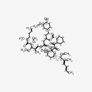 C=CCC[C@@H](C)C(=O)[C@H](OC)[C@H](OC)/C(C)=C/[C@@H](C)C(=O)C[C@@H](CC[C@@H]1CC[C@@H](O)[C@H](OC)C1)OC(=O)[C@@H]1CCCCN1C(=O)C(=O)[C@]1(O)O[C@H](C[C@H](OC)/C(C)=C/C=C/C)CC[C@H]1C